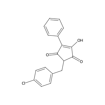 O=C1C(O)=C(c2ccccc2)C(=O)C1Cc1ccc(Cl)cc1